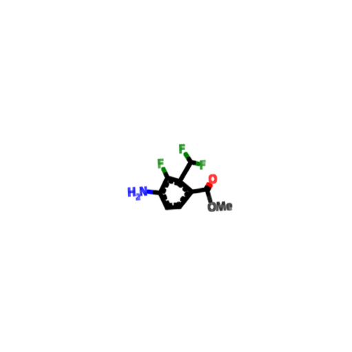 COC(=O)c1ccc(N)c(F)c1C(F)F